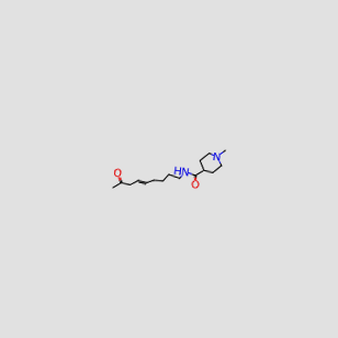 CC(=O)C/C=C/CCCCNC(=O)C1CCN(C)CC1